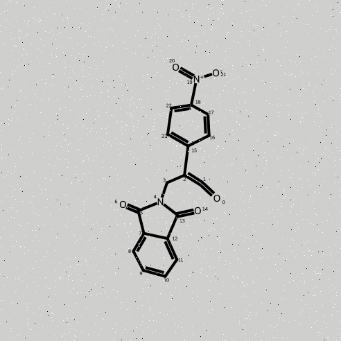 O=C=C(CN1C(=O)c2ccccc2C1=O)c1ccc([N+](=O)[O-])cc1